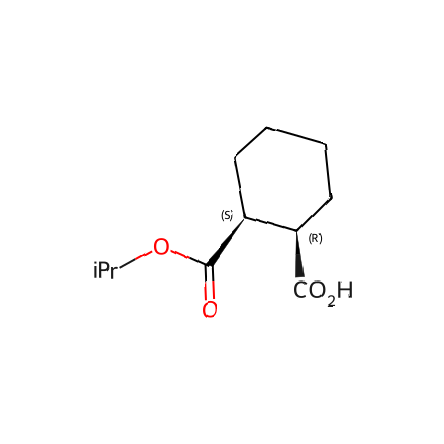 CC(C)OC(=O)[C@H]1CCCC[C@H]1C(=O)O